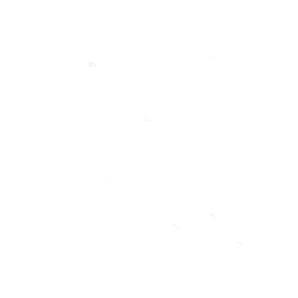 O=C(O)C(F)(F)F.O=S(=O)(Nc1ccncn1)c1ccc2c(c1)OCCN2c1ccc(C(F)(F)F)cc1C1=CCNCC1